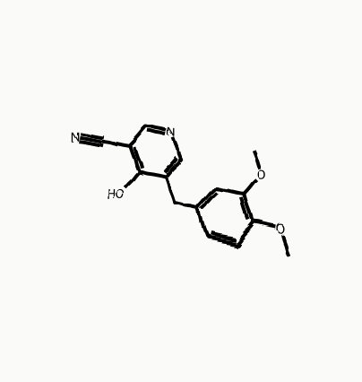 COc1ccc(Cc2cncc(C#N)c2O)cc1OC